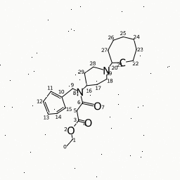 CCOC(=O)CC(=O)N(Cc1ccccc1)C1CCN(C2CCCCCCC2)CC1